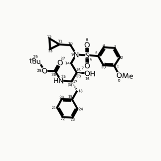 COc1cccc(S(=O)(=O)N(CC2CC2)C[C@@H](O)[C@H](Cc2ccccc2)NC(=O)OC(C)(C)C)c1